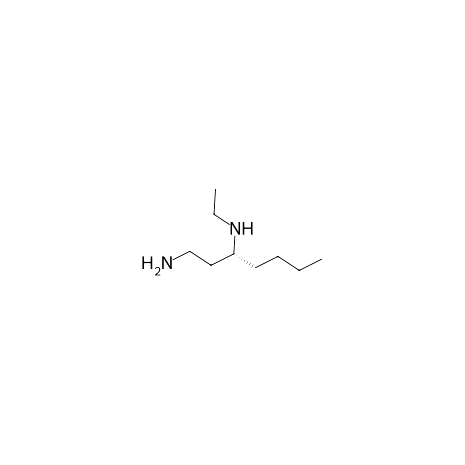 CCCC[C@H](CCN)NCC